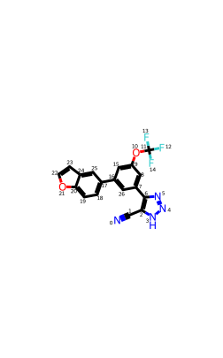 N#Cc1[nH]nnc1-c1cc(OC(F)(F)F)cc(-c2ccc3occc3c2)c1